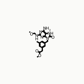 COCNc1nc(N)c2[nH]c(=O)n(Cc3cc(C)cc(CC(=O)OC)c3)c2n1